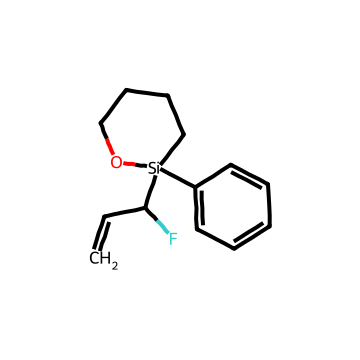 C=CC(F)[Si]1(c2ccccc2)CCCCO1